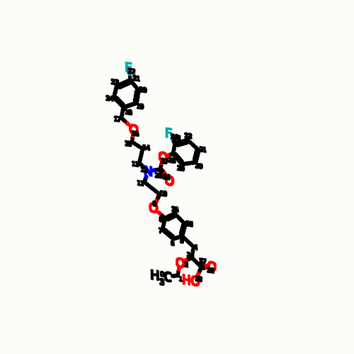 CCOC(Cc1ccc(OCCN(CCCOCc2ccc(F)cc2)C(=O)Oc2ccccc2F)cc1)C(=O)O